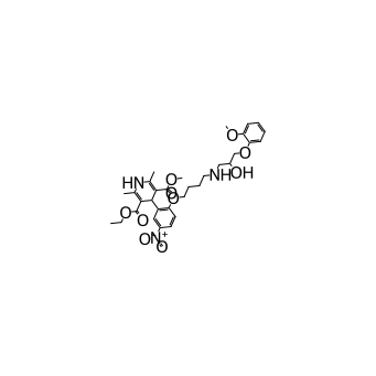 CCOC(=O)C1=C(C)NC(C)=C(C(=O)OC)C1c1cc([N+](=O)[O-])ccc1OCCCCNCC(O)COc1ccccc1OC